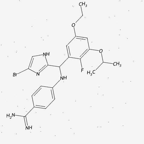 CCOc1cc(OC(C)C)c(F)c(C(Nc2ccc(C(=N)N)cc2)c2nc(Br)c[nH]2)c1